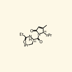 CCC[C@@H]1C(C)=CC(=O)N1C(=O)[C@@H](CC(C)C)NC(=O)CC